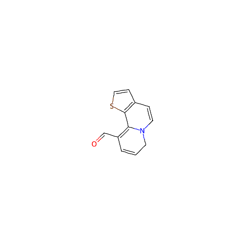 O=CC1=C2c3sccc3C=CN2CC=C1